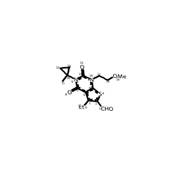 CCc1c(C=O)sc2c1c(=O)n(C1(C)CC1)c(=O)n2CCOC